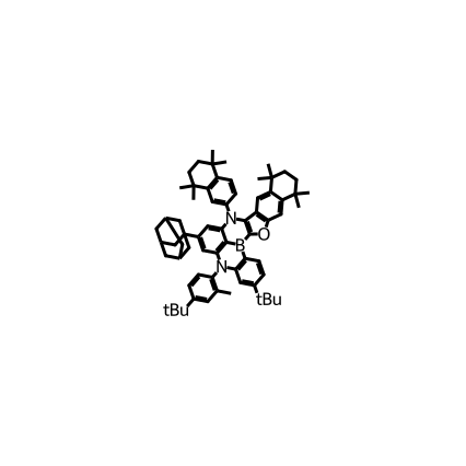 Cc1cc(C(C)(C)C)ccc1N1c2cc(C(C)(C)C)ccc2B2c3oc4cc5c(cc4c3N(c3ccc4c(c3)C(C)(C)CCC4(C)C)c3cc(C46CC7CC(CC(C7)C4)C6)cc1c32)C(C)(C)CCC5(C)C